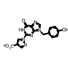 O=C(O)c1cnn(-c2nc3c(ncn3Cc3ccc(O)cc3)c(=O)[nH]2)c1